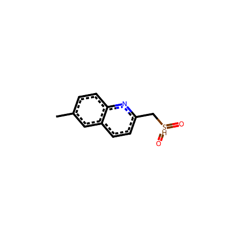 Cc1ccc2nc(C[SH](=O)=O)ccc2c1